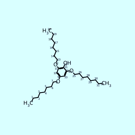 CCCCCCCCOc1cc(OCCCCCCCC)c(O)c(OCCCCCCCC)c1